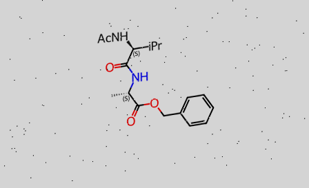 CC(=O)N[C@H](C(=O)N[C@@H](C)C(=O)OCc1ccccc1)C(C)C